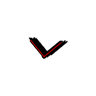 [O-2].[O-2].[O-2].[O-2].[O-2].[Ti+4].[Ti+4].[Ti+4].[Ti+4].[Ti+4].[Ti+4].[Ti+4].[Ti+4].[Ti+4].[Ti+4].[Ti+4].[Ti+4].[Ti+4].[Ti+4].[Ti+4].[Ti+4].[Ti+4].[Ti+4].[Ti+4].[Ti+4].[Ti+4].[Ti+4].[Ti+4].[Ti+4].[Ti+4].[Ti+4].[Ti+4].[Ti+4].[Ti+4].[Ti+4].[Ti+4].[Ti+4].[Ti+4].[Ti+4].[Ti+4].[Ti+4].[Ti+4].[Ti+4].[Ti+4].[Ti+4].[Ti+4].[Ti+4].[Ti+4].[Ti+4].[Ti+4].[Ti+4].[Ti+4].[Ti+4].[Ti+4].[Ti+4].[Ti+4].[Ti+4].[Ti+4].[Ti+4].[Ti+4].[Ti+4].[Ti+4].[Ti+4].[Ti+4].[Ti+4].[Ti+4].[Ti+4].[Ti+4].[Ti+4].[Ti+4].[Ti+4].[Ti+4].[Ti+4].[Ti+4].[Ti+4].[Ti+4].[Ti+4].[Ti+4].[Ti+4].[Ti+4].[Ti+4].[Ti+4].[Ti+4].[Ti+4].[Ti+4].[Ti+4].[Ti+4]